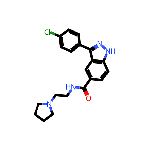 O=C(NCCN1CCCC1)c1ccc2[nH]nc(-c3ccc(Cl)cc3)c2c1